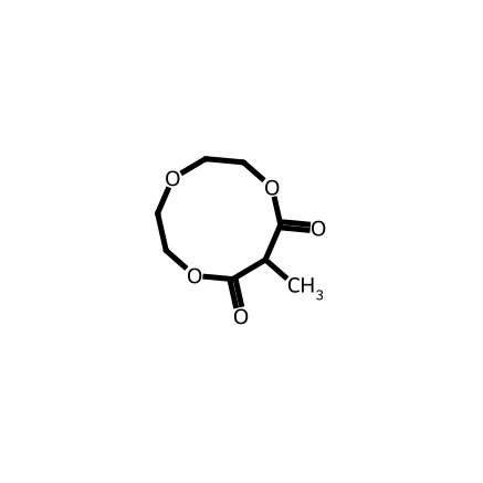 CC1C(=O)OCCOCCOC1=O